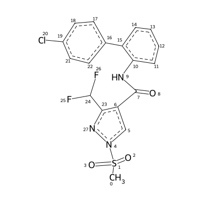 CS(=O)(=O)n1cc(C(=O)Nc2ccccc2-c2ccc(Cl)cc2)c(C(F)F)n1